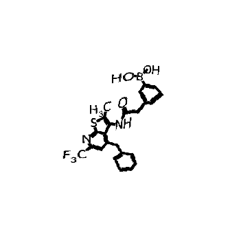 Cc1sc2nc(C(F)(F)F)cc(Cc3ccccc3)c2c1NC(=O)Cc1cccc(B(O)O)c1